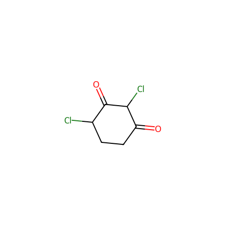 O=C1CCC(Cl)C(=O)C1Cl